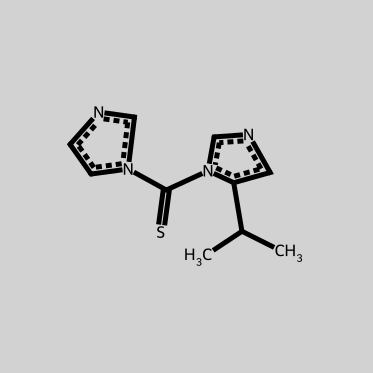 CC(C)c1cncn1C(=S)n1ccnc1